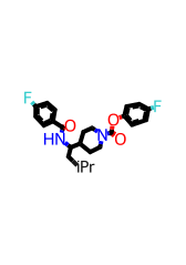 CC(C)CC(NC(=O)c1ccc(F)cc1)C1CCN(C(=O)Oc2ccc(F)cc2)CC1